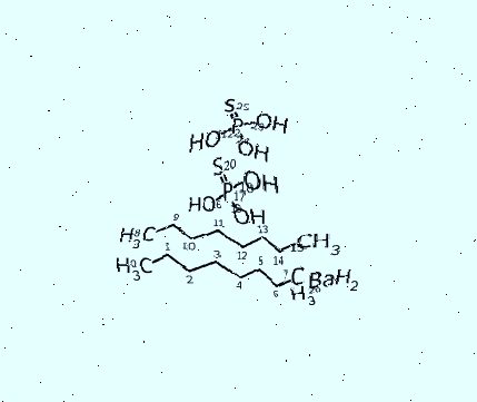 CCCCCCCC.CCCCCCCC.OP(O)(O)=S.OP(O)(O)=S.[BaH2]